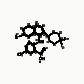 O=C(O)c1cc(Cl)ccc1Nc1c(C2CCC(F)(F)CC2)cnc2ccc(Br)cc12